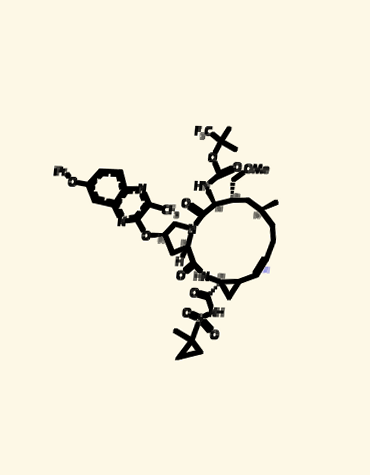 COC[C@@H]1C[C@@H](C)CC/C=C\C2C[C@@]2(C(=O)NS(=O)(=O)C2(C)CC2)NC(=O)[C@@H]2C[C@@H](Oc3nc4cc(OC(C)C)ccc4nc3C(F)(F)F)CN2C(=O)[C@H]1NC(=O)OC(C)(C)C(F)(F)F